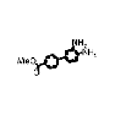 COC(=O)c1ccc(-c2ccc(N)c(N)c2)cc1